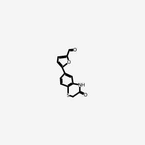 O=Cc1ccc(-c2ccc3c(c2)NC(=O)CS3)o1